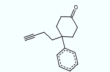 C#CCCC1(c2ccccc2)CCC(=O)CC1